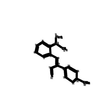 CCCC(C)N(C)c1ccccc1/C=C(\C=S)C1=CCC(OC)C=C1